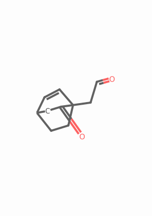 O=CCC12C=CC(CC1)CC2=O